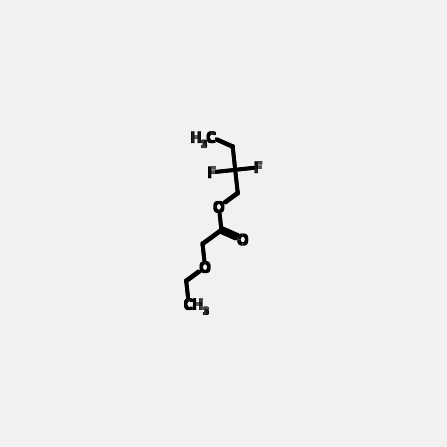 CCOCC(=O)OCC(F)(F)CC